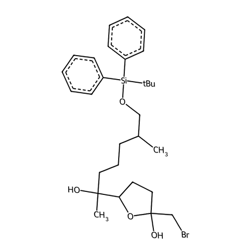 CC(CCCC(C)(O)C1CCC(O)(CBr)O1)CO[Si](c1ccccc1)(c1ccccc1)C(C)(C)C